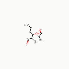 CCC=O.CCCC(O)C(C)C=O